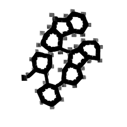 Brc1ccccc1-c1ccccc1-c1ccc2c3ccccc3n(-c3cccc4oc5ccccc5c34)c2c1